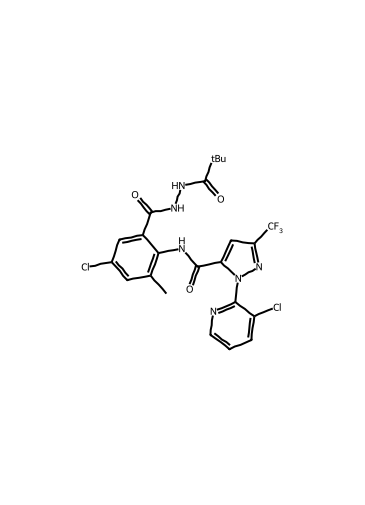 Cc1cc(Cl)cc(C(=O)NNC(=O)C(C)(C)C)c1NC(=O)c1cc(C(F)(F)F)nn1-c1ncccc1Cl